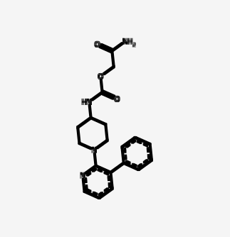 NC(=O)COC(=O)NC1CCN(c2ncccc2-c2ccccc2)CC1